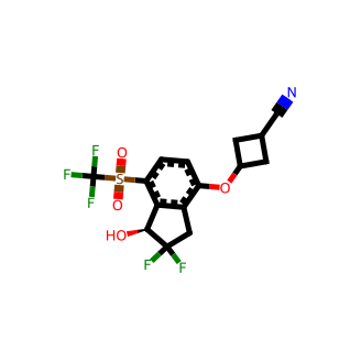 N#CC1CC(Oc2ccc(S(=O)(=O)C(F)(F)F)c3c2CC(F)(F)[C@H]3O)C1